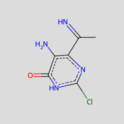 CC(=N)c1nc(Cl)[nH]c(=O)c1N